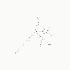 CCCCCCCCCCOC(=O)CC(=O)OCC(COC(=O)CCCN(C)C)(COC(=O)CC(CCCCC)CCCCC)COC(=O)CC(CCCCC)CCCCC